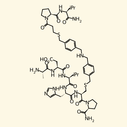 CC(C)[C@H](NC(=O)[C@@H]1CCCN1C(=O)CCSCc1ccc(CNCc2ccc(CSC[C@H](NC(=O)[C@H](Cc3cnc[nH]3)NC(=O)[C@@H](NC(=O)[C@H](CC(=O)O)NC(=O)[C@H](C)N)C(C)C)C(=O)N3CCC[C@H]3C(N)=O)cc2)cc1)C(N)=O